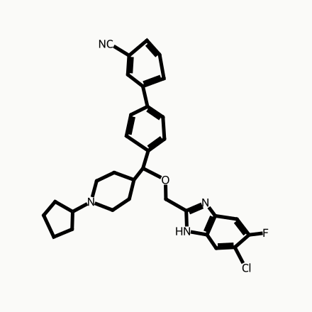 N#Cc1cccc(-c2ccc(C(OCc3nc4cc(F)c(Cl)cc4[nH]3)C3CCN(C4CCCC4)CC3)cc2)c1